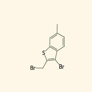 Cc1ccc2c(Br)c(CBr)sc2c1